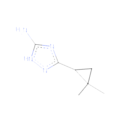 CC1(C)CC1c1n[nH]c(N)n1